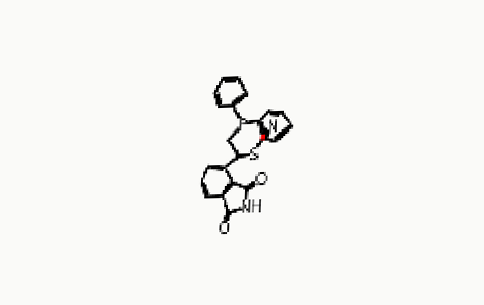 N#CSC(CP(c1ccccc1)c1ccccc1)c1cccc2c1C(=O)NC2=O